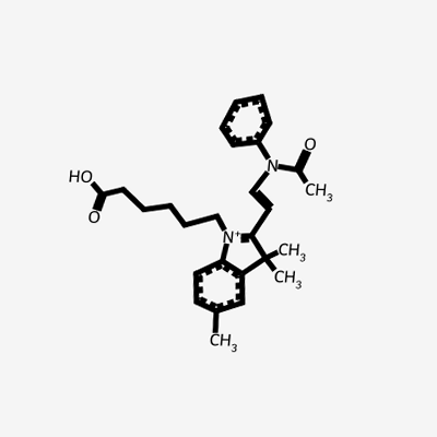 CC(=O)N(/C=C/C1=[N+](CCCCCC(=O)O)c2ccc(C)cc2C1(C)C)c1ccccc1